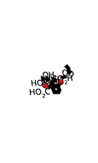 C=CC(=O)OCCO.Cc1ccccc1.N=C=O.N=C=O.O=C(O)CCCCC(=O)O.OCCO